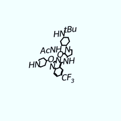 CC(=O)N[C@@H]1C[C@H](NC(C)(C)C)CC[C@@H]1N1CCC(Nc2nc(OC3CCNCC3)nc3ccc(C(F)(F)F)cc23)C1=O